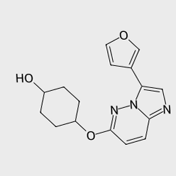 OC1CCC(Oc2ccc3ncc(-c4ccoc4)n3n2)CC1